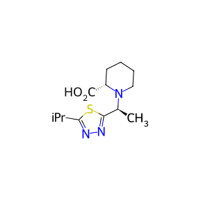 CC(C)c1nnc([C@H](C)N2CCCC[C@H]2C(=O)O)s1